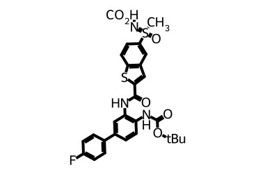 CC(C)(C)OC(=O)Nc1ccc(-c2ccc(F)cc2)cc1NC(=O)c1cc2cc(S(C)(=O)=NC(=O)O)ccc2s1